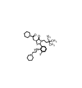 CC(C)(C)CCN1C(=O)[C@H](CC(=O)N2CC[CH]CC2)SC1c1cccc(F)c1NCCN1CCCCC1